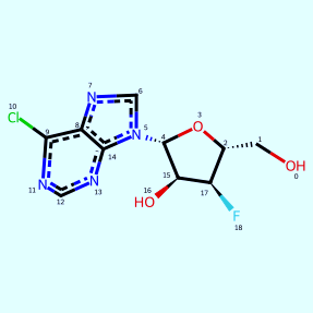 OC[C@H]1O[C@@H](n2cnc3c(Cl)ncnc32)[C@H](O)[C@@H]1F